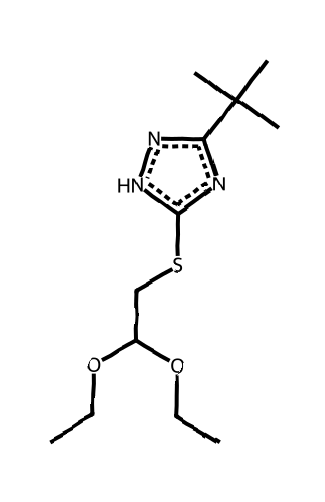 CCOC(CSc1nc(C(C)(C)C)n[nH]1)OCC